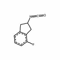 O=C=NC1Cc2cccc(F)c2C1